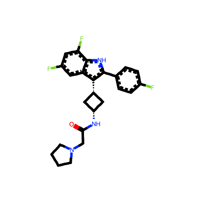 O=C(CN1CCCC1)N[C@H]1C[C@@H](c2c(-c3ccc(F)cc3)[nH]c3c(F)cc(F)cc32)C1